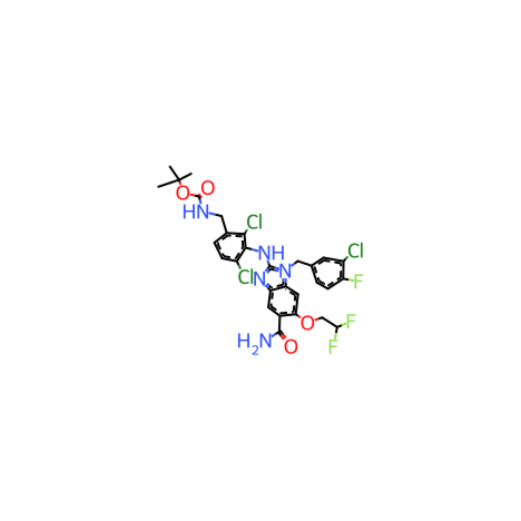 CC(C)(C)OC(=O)NCc1ccc(Cl)c(Nc2nc3cc(C(N)=O)c(OCC(F)F)cc3n2Cc2ccc(F)c(Cl)c2)c1Cl